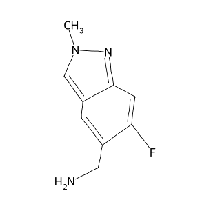 Cn1cc2cc(CN)c(F)cc2n1